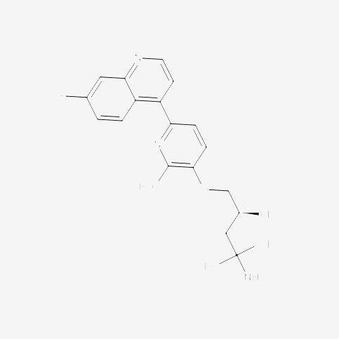 Cc1nc(-c2ccnc3cc(F)ccc23)ccc1OC[C@@H](C)CC(C)(C)N